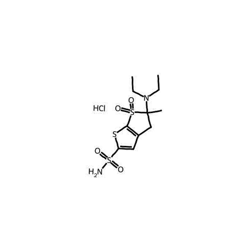 CCN(CC)C1(C)Cc2cc(S(N)(=O)=O)sc2S1(=O)=O.Cl